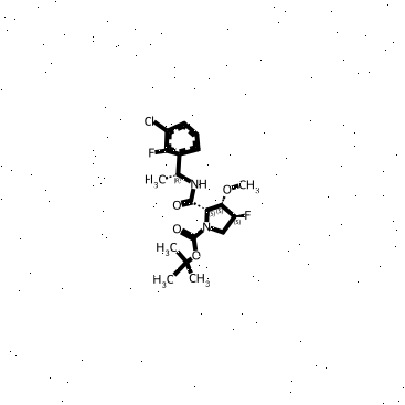 CO[C@H]1[C@@H](C(=O)N[C@H](C)c2cccc(Cl)c2F)N(C(=O)OC(C)(C)C)C[C@@H]1F